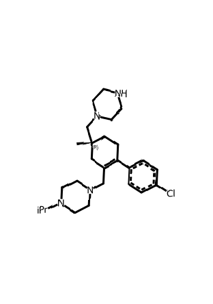 CC(C)N1CCN(CC2=C(c3ccc(Cl)cc3)CC[C@@](C)(CN3CCNCC3)C2)CC1